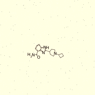 NC(=O)c1cccc2[nH]c(C3CCN(C4CCC4)CC3)nc12